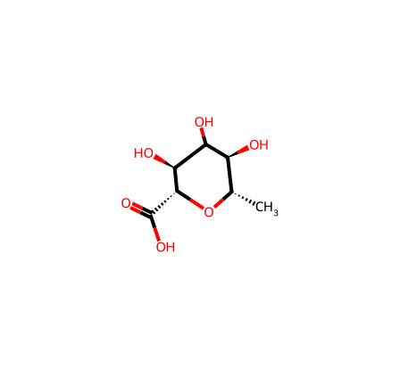 C[C@@H]1O[C@H](C(=O)O)[C@@H](O)C(O)[C@H]1O